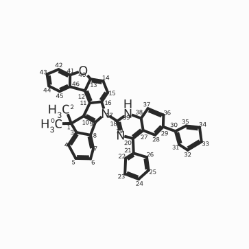 CC1(C)c2ccccc2-c2c1c1c3c(ccc1n2C1=NC(c2ccccc2)=C2C=C(c4ccccc4)C=CC2N1)oc1ccccc13